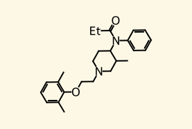 CCC(=O)N(c1ccccc1)C1CCN(CCOc2c(C)cccc2C)CC1C